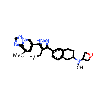 COc1cc(-c2[nH]nc(-c3ccc4c(c3)CCC(N(C)C3COC3)C4)c2CC(F)(F)F)cn2ncnc12